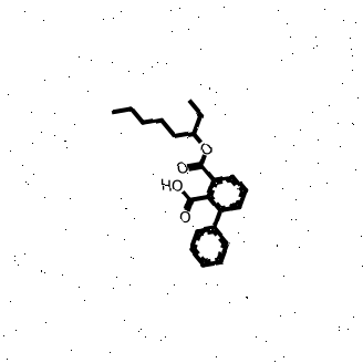 CCCCCC(CC)OC(=O)c1cccc(-c2ccccc2)c1C(=O)O